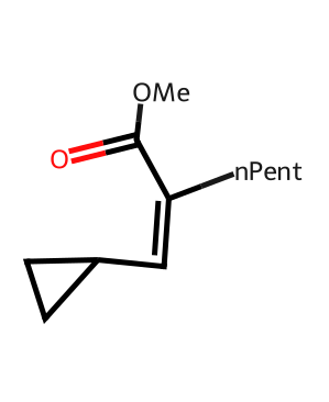 CCCCC/C(=C/C1CC1)C(=O)OC